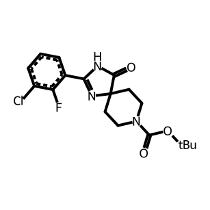 CC(C)(C)OC(=O)N1CCC2(CC1)N=C(c1cccc(Cl)c1F)NC2=O